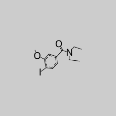 CCN(CC)C(=O)c1ccc(I)c(OC)c1